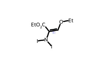 CCO/C=C(\C(=O)OCC)N(I)I